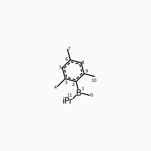 CB(c1c(C)cc(C)cc1C)C(C)C